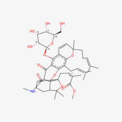 CNC12C=C3C(=O)c4c(O[C@@H]5O[C@H](CO)[C@@H](O)[C@@H](O)[C@H]5O)c5c(c(CC=C(C)C)c4OC34C(C1)C(C)(C)OC4(C/C=C(/C)C(=O)OC)C2=O)OC(C)(CCC=C(C)C)C=C5